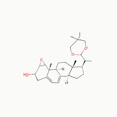 CC(C1OCC(C)(C)CO1)[C@H]1CC[C@H]2C3=CC=C4CC(O)C5OC5[C@]4(C)[C@H]3CC[C@]12C